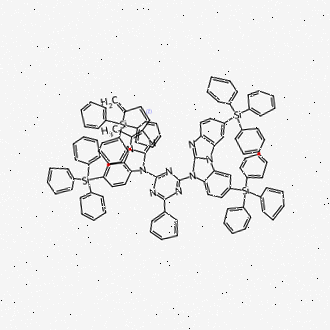 C=C(/C=C\c1nc2n(-c3nc(-c4ccccc4)nc(-n4c5ccc([Si](c6ccccc6)(c6ccccc6)c6ccccc6)cc5n5c6cc([Si](c7ccccc7)(c7ccccc7)c7ccccc7)ccc6nc45)n3)c3ccc([Si](c4ccccc4)(c4ccccc4)c4ccccc4)cc3n2c1C)[Si](c1ccccc1)(c1ccccc1)c1ccccc1